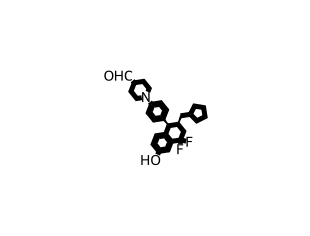 O=CC1CCN(c2ccc([C@@H]3c4ccc(O)cc4C(F)(F)C[C@@H]3CC3CCCC3)cc2)CC1